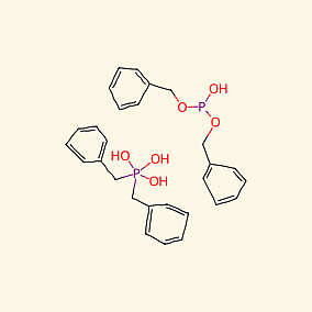 OP(O)(O)(Cc1ccccc1)Cc1ccccc1.OP(OCc1ccccc1)OCc1ccccc1